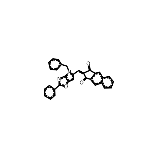 O=C1C(=Cc2cc3oc(-c4ccccc4)nc3n2Cc2ccccc2)C(=O)c2cc3ccccc3cc21